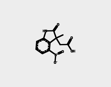 CC1(CC(=O)O)C(=O)Nc2cccc([N+](=O)[O-])c21